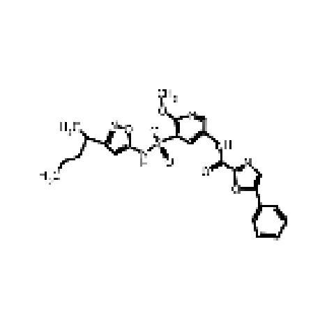 CCCC(C)c1cc(NS(=O)(=O)c2cc(NC(=O)c3ncc(-c4ccccc4)o3)cnc2OC)on1